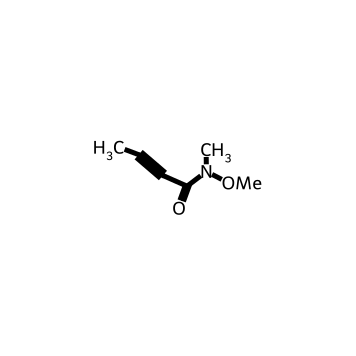 CC#CC(=O)N(C)OC